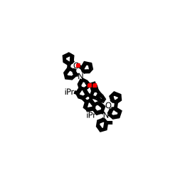 Cc1ccccc1N(c1ccc2c3c(cc(C(C)C)c2c1)-c1cc(C(C)C)c2cc(N(c4ccccc4C)c4cccc5c4oc4ccccc45)ccc2c1C31c2ccccc2-c2ccccc21)c1cccc2c1oc1ccccc12